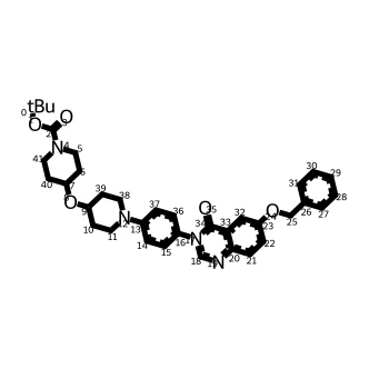 CC(C)(C)OC(=O)N1CCC(OC2CCN(c3ccc(-n4cnc5ccc(OCc6ccccc6)cc5c4=O)cc3)CC2)CC1